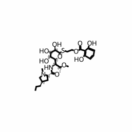 CCC[C@@H]1C[C@@H](C(=O)N[C@@H]([C@H]2O[C@H](SCCOC(=O)c3c(O)cccc3O)[C@H](O)[C@@H](O)[C@H]2O)[C@@H](C)OC)N(C)C1